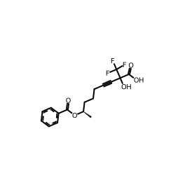 C[C@H](CCCC#CC(O)(C(=O)O)C(F)(F)F)OC(=O)c1ccccc1